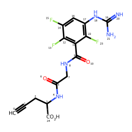 C#CCC(NC(=O)CNC(=O)c1c(F)c(F)cc(NC(=N)N)c1F)C(=O)O